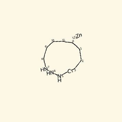 C1CCCCNNNCCCC1.[Zn]